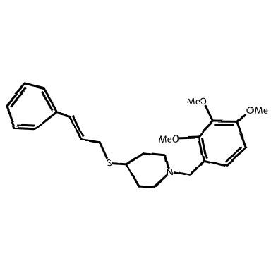 COc1ccc(CN2CCC(SCC=Cc3ccccc3)CC2)c(OC)c1OC